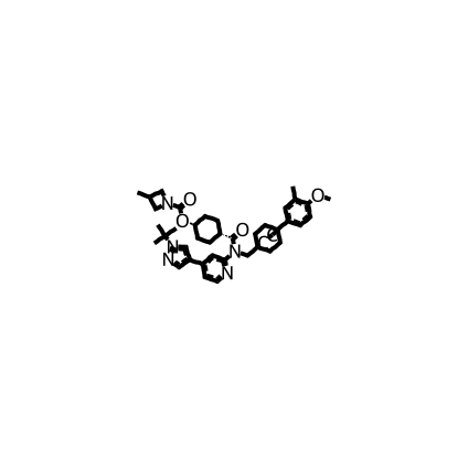 COc1ccc(C23CCC(CN(c4cc(-c5cnn(C(C)(C)C)c5)ccn4)C(=O)[C@H]4CC[C@@H](OC(=O)N5CC(C)C5)CC4)(CC2)CC3)cc1C